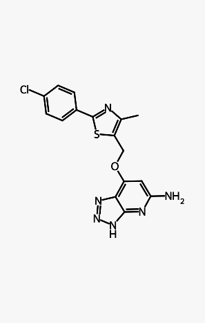 Cc1nc(-c2ccc(Cl)cc2)sc1COc1cc(N)nc2[nH]nnc12